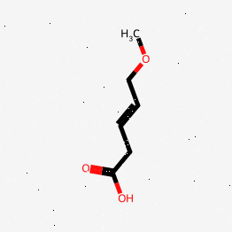 COCC=CCC(=O)O